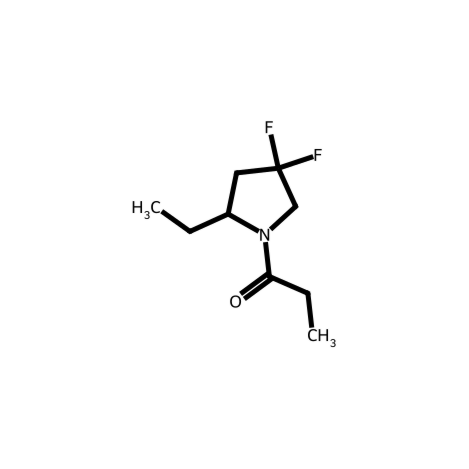 CCC(=O)N1CC(F)(F)CC1CC